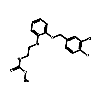 CC(C)(C)OC(=O)NCCNc1ccccc1OCc1ccc(Cl)c(Cl)c1